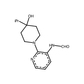 CC(C)C1(O)CCN(c2ncccc2NC=O)CC1